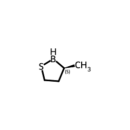 C[C@@H]1BSCC1